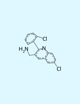 NCc1cc2cc(Cl)ccc2nc1-c1ccccc1Cl